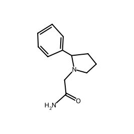 NC(=O)CN1CCCC1c1ccccc1